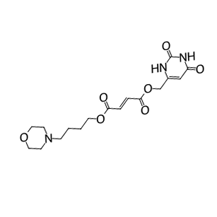 O=C(/C=C/C(=O)OCc1cc(=O)[nH]c(=O)[nH]1)OCCCCN1CCOCC1